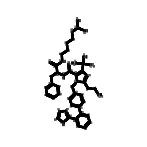 CCCc1nc(C(C)(C)O)c(C(=O)NC(Cc2ccccc2)C(=O)NCCCCON(O)O)n1Cc1ccc(-c2ccccc2-c2nnn[nH]2)cc1